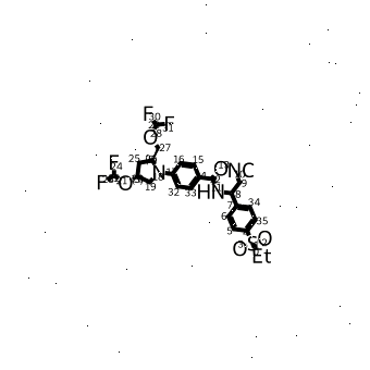 CCS(=O)(=O)c1ccc(C(CC#N)NC(=O)c2ccc(N3C[C@@H](OC(F)F)C[C@H]3COC(F)F)cc2)cc1